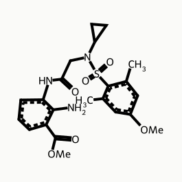 COC(=O)c1cccc(NC(=O)CN(C2CC2)S(=O)(=O)c2c(C)cc(OC)cc2C)c1N